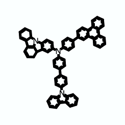 C1=CCC2C(=C1)C1=C3C(CC=C1)c1cc(N(c4ccc(-c5ccc(-n6c7ccccc7c7ccccc76)cc5)cc4)c4ccc(-c5ccc6c7ccccc7c7ccccc7c6c5)cc4)ccc1N32